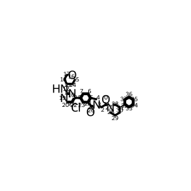 O=C(CN1Cc2ccc(-c3nc(NC4CCOCC4)ncc3Cl)cc2C1=O)N1CCC[C@H](c2ccccc2)C1